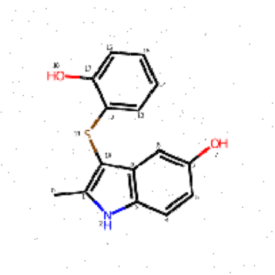 Cc1[nH]c2ccc(O)cc2c1Sc1ccccc1O